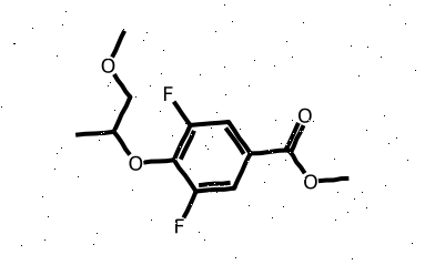 COCC(C)Oc1c(F)cc(C(=O)OC)cc1F